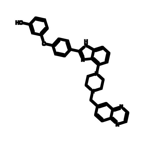 Oc1cccc(Oc2ccc(-c3nc4c(N5CCN(Cc6ccc7nccnc7c6)CC5)cccc4[nH]3)cc2)c1